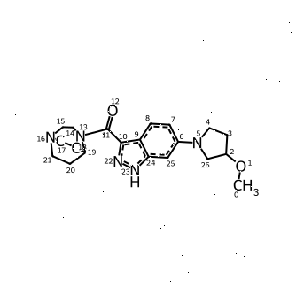 COC1CCN(c2ccc3c(C(=O)N4CCN5CCC4CC5)n[nH]c3c2)C1